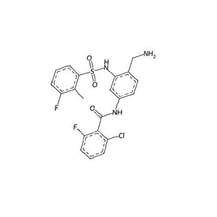 Cc1c(F)cccc1S(=O)(=O)Nc1cc(NC(=O)c2c(F)cccc2Cl)ccc1CN